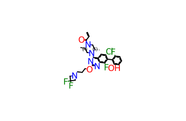 C=CC(=O)N1C[C@H](C)N(c2nc(OCCCN3CC(F)(F)C3)nc3c(F)c(-c4c(O)cccc4F)c(Cl)cc23)C[C@H]1C